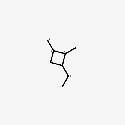 CCC1CC(C)C1C